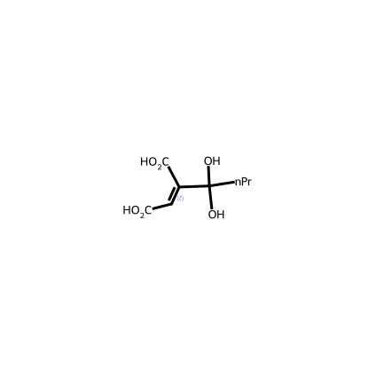 CCCC(O)(O)/C(=C/C(=O)O)C(=O)O